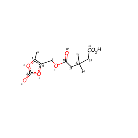 Cc1oc(=O)oc1COC(=O)CC(C)(C)CC(=O)O